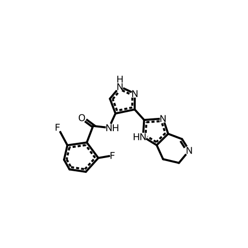 O=C(Nc1c[nH]nc1-c1nc2c([nH]1)CCN=C2)c1c(F)cccc1F